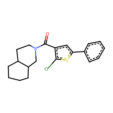 O=C(c1cc(-c2ccccc2)sc1Cl)N1CCC2CCCCC2C1